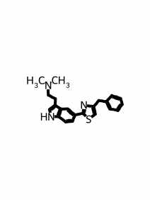 CN(C)CCc1c[nH]c2ccc(-c3nc(Cc4ccccc4)cs3)cc12